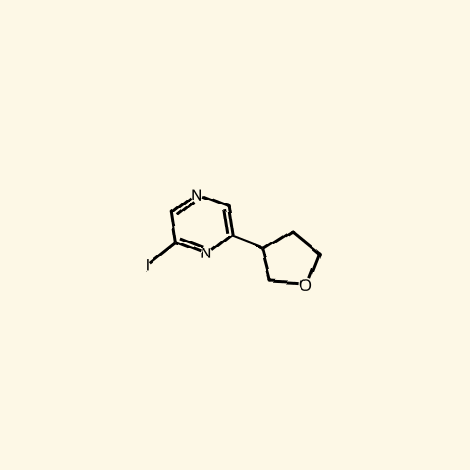 Ic1cncc(C2CCOC2)n1